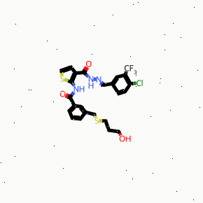 O=C(Nc1sccc1C(=O)NN=Cc1ccc(Cl)c(C(F)(F)F)c1)c1cccc(CSCCCO)c1